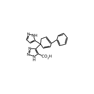 O=C(O)c1[nH]nnc1C1(c2ccn[nH]2)C=CC(c2ccccc2)=CC1